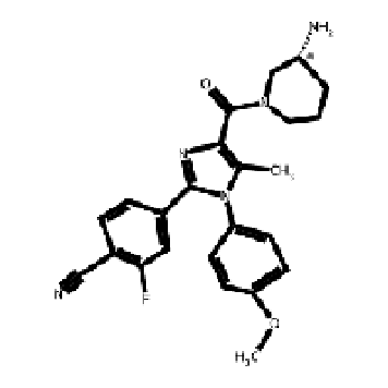 COc1ccc(-n2c(-c3ccc(C#N)c(F)c3)nc(C(=O)N3CCC[C@@H](N)C3)c2C)cc1